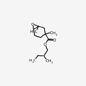 CCC(C)COC(=O)C1(C)CCC2OC2(C)C1